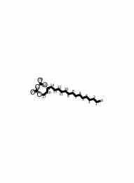 CCCCCCCCCCCCCCCC1CCOC(=O)OC(=O)O1